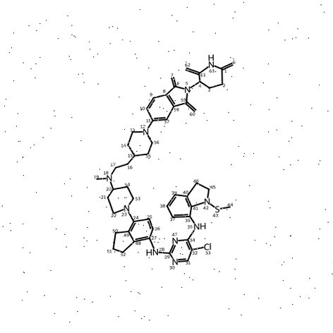 C=C1CCC(n2c(=C)c3ccc(N4CCC(CCN(C)C5CCN(c6ccc(Nc7ncc(Cl)c(Nc8cccc9c8N(SC)CC9)n7)c7c6CCC7)CC5)CC4)cc3c2=C)C(=C)N1